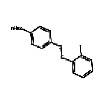 CCCCCCc1ccc(SSc2ccccc2C)cc1